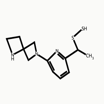 CC(SS)c1cccc(N2CC3(CCN3)C2)n1